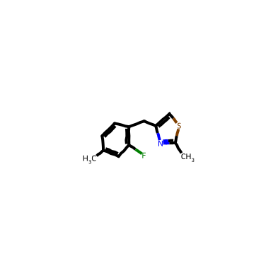 Cc1ccc(Cc2csc(C)n2)c(F)c1